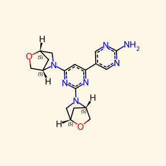 Nc1ncc(-c2cc(N3C[C@@H]4C[C@H]3CO4)nc(N3C[C@@H]4C[C@H]3CO4)n2)cn1